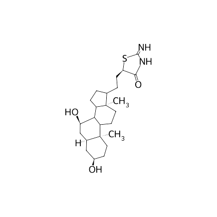 C[C@]12CCC3C(C1CCC2CC[C@H]1SC(=N)NC1=O)[C@H](O)C[C@@H]1C[C@H](O)CC[C@]31C